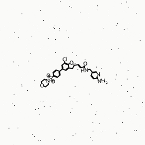 Nc1ccc(CNC(=O)C=CC2Cc3cc(-c4ccc(S(=O)(=O)N5CCOCC5)cc4)cc(Cl)c3O2)cn1